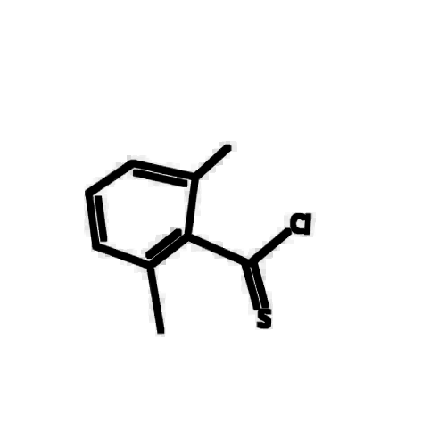 Cc1cccc(C)c1C(=S)Cl